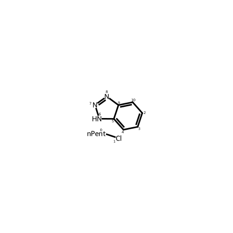 CCCCCCl.c1ccc2[nH]nnc2c1